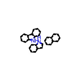 c1ccc2[nH]ccc2c1.c1ccc2c(c1)[nH]c1ccccc12.c1ccc2ccccc2c1